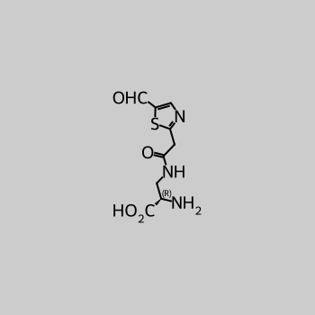 N[C@H](CNC(=O)Cc1ncc(C=O)s1)C(=O)O